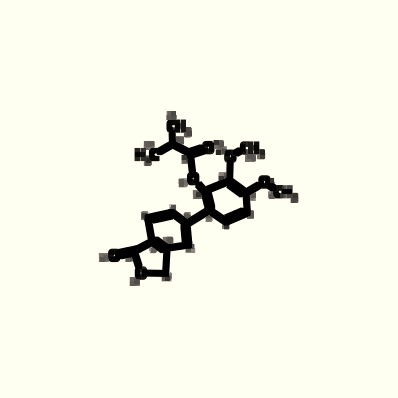 COc1ccc(-c2ccc3c(c2)COC3=O)c(OC(=O)C(C)C)c1OC